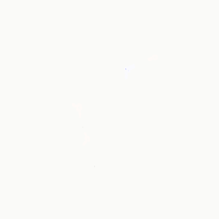 CCO[Si](C)(CCCCCN=C=O)OCC